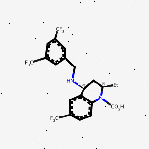 CC[C@@H]1C[C@H](NCc2cc(C(F)(F)F)cc(C(F)(F)F)c2)c2cc(C(F)(F)F)ccc2N1C(=O)O